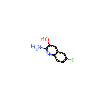 Nc1nc2ccc(F)cc2cc1O